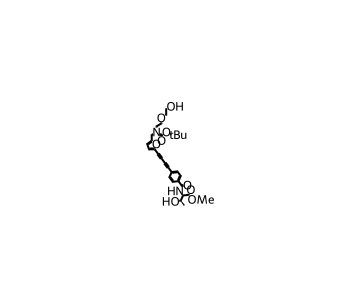 COC(=O)[C@@H](NC(=O)c1ccc(C#CC#Cc2ccc(CN(CCOCCO)C(=O)OC(C)(C)C)o2)cc1)[C@@H](C)O